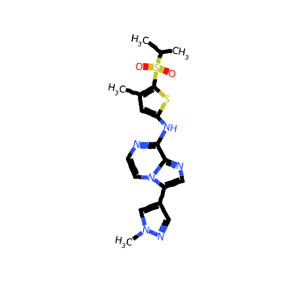 Cc1cc(Nc2nccn3c(-c4cnn(C)c4)cnc23)sc1S(=O)(=O)C(C)C